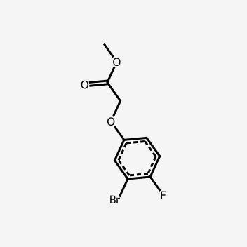 COC(=O)COc1ccc(F)c(Br)c1